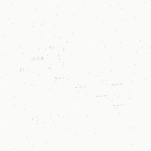 CCC(CC)(C(=O)O)C(=O)OCCCC1CCCCC1